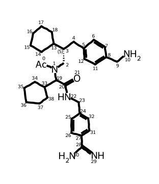 CC(=O)N(C[C@@H](Cc1ccc(CN)cc1)C1CCCCC1)C(C(=O)NCc1ccc(C(=N)N)cc1)C1CCCCC1